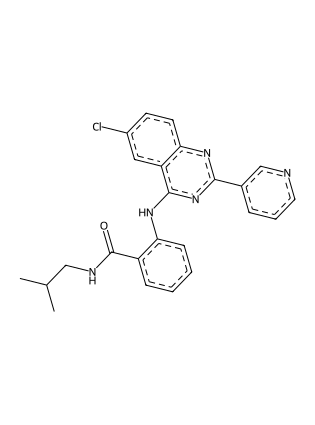 CC(C)CNC(=O)c1ccccc1Nc1nc(-c2cccnc2)nc2ccc(Cl)cc12